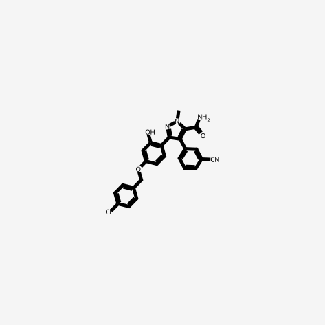 Cn1nc(-c2ccc(OCc3ccc(Cl)cc3)cc2O)c(-c2cccc(C#N)c2)c1C(N)=O